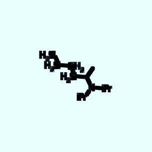 CC(C)N(C(C)C)C(C)[SiH2][SiH2][SiH2][SiH3]